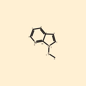 CSn1ccc2cccnc21